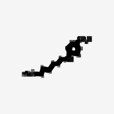 CCCCCCCCCC/C=C/CCCNc1ccc(C(=O)O)cc1